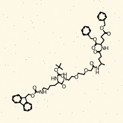 CC(CCC(=O)NC(CCC(=O)OCc1ccccc1)C(=O)OCc1ccccc1)NC(=O)COCCOCCNC(=O)C(CCCCNC(=O)OCC1c2ccccc2-c2ccccc21)NC(=O)OC(C)(C)C